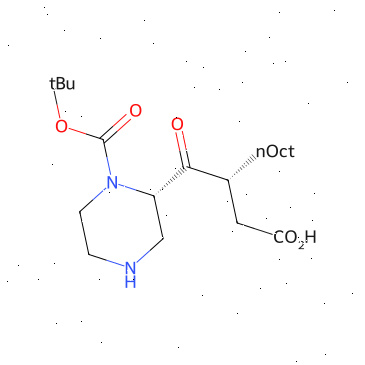 CCCCCCCC[C@H](CC(=O)O)C(=O)[C@@H]1CNCCN1C(=O)OC(C)(C)C